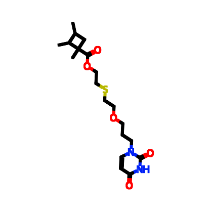 CC1CC(C)(C(=O)OCCSCCOCCCn2ccc(=O)[nH]c2=O)C1C